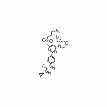 C[C@H]1COCCN1c1cc(CS(=O)(=O)CCCO)nc(-c2ccc(NC(=O)NC3CC3)cc2)n1